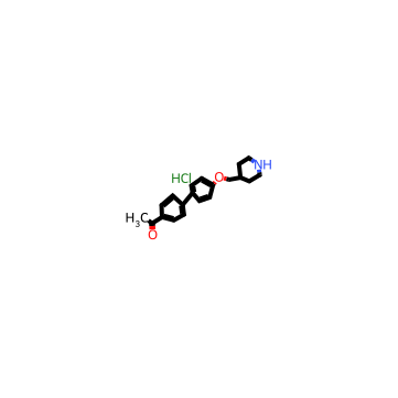 CC(=O)c1ccc(-c2ccc(OCC3CCNCC3)cc2)cc1.Cl